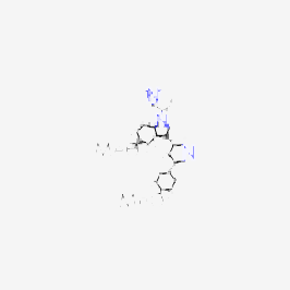 COc1ccc(-c2cncc(-c3cn(C(C)CN(C)C)c4ccc(OC)cc34)c2)cc1